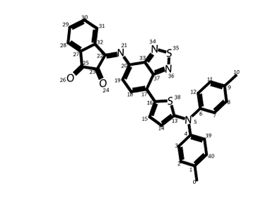 Cc1ccc(N(c2ccc(C)cc2)c2ccc(-c3ccc(/N=c4\c(=O)c(=O)c5ccccc45)c4nsnc34)s2)cc1